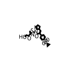 O=C(Nc1nc(C(=O)CO)cs1)C(=CC1CCCC1)c1ccc(S(=O)(=O)C2CC2)cc1